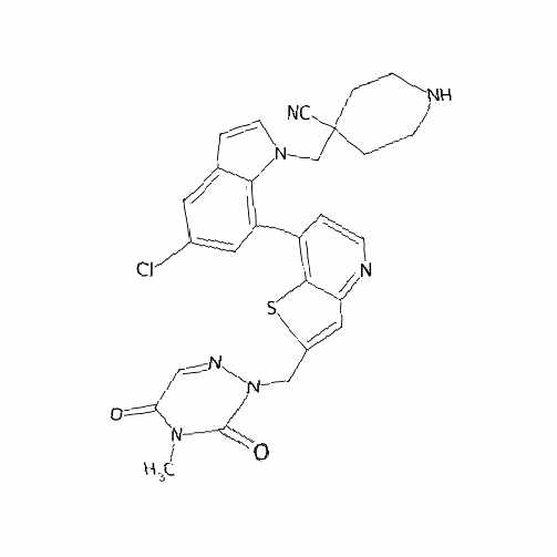 Cn1c(=O)cnn(Cc2cc3nccc(-c4cc(Cl)cc5ccn(CC6(C#N)CCNCC6)c45)c3s2)c1=O